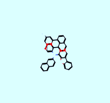 CC(C)(C)c1cc(-c2cccc3cccc(-c4ccccc4N(c4ccc5ccccc5c4)c4cccc5c4oc4ccccc45)c23)cc(C(C)(C)C)c1